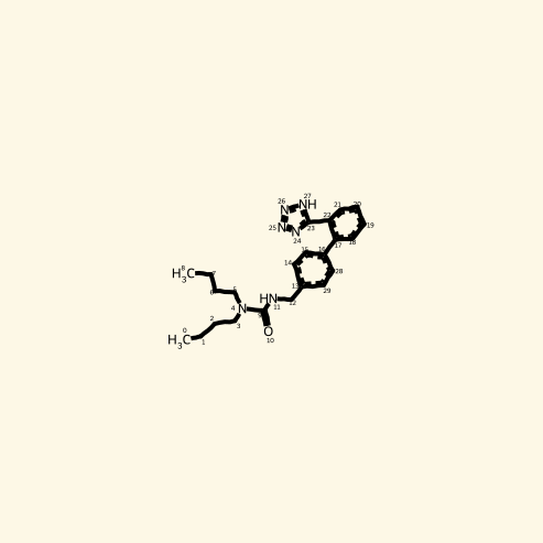 CCCCN(CCCC)C(=O)NCc1ccc(-c2ccccc2-c2nnn[nH]2)cc1